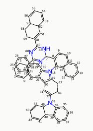 C1=CCCC(C2=NC(c3ccc4ccccc4c3-n3c4c(c5cc6ccccc6cc53)C=C(N3c5ccccc5C5C=CC=CC53)CC4)NC(C3=CC4C=CC=CC4CC3)=N2)=C1